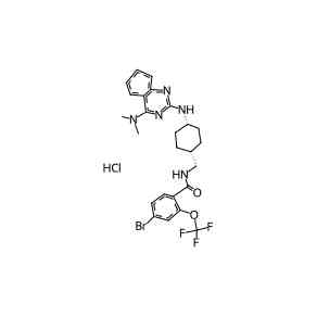 CN(C)c1nc(N[C@H]2CC[C@@H](CNC(=O)c3ccc(Br)cc3OC(F)(F)F)CC2)nc2ccccc12.Cl